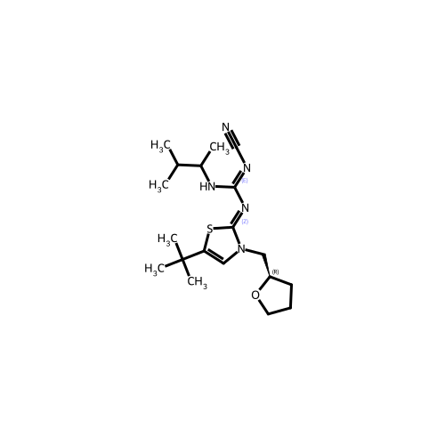 CC(C)C(C)NC(/N=c1\sc(C(C)(C)C)cn1C[C@H]1CCCO1)=N\C#N